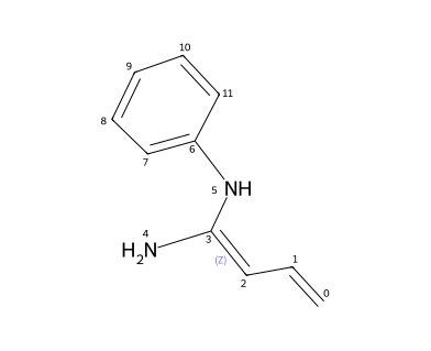 C=C/C=C(/N)Nc1ccccc1